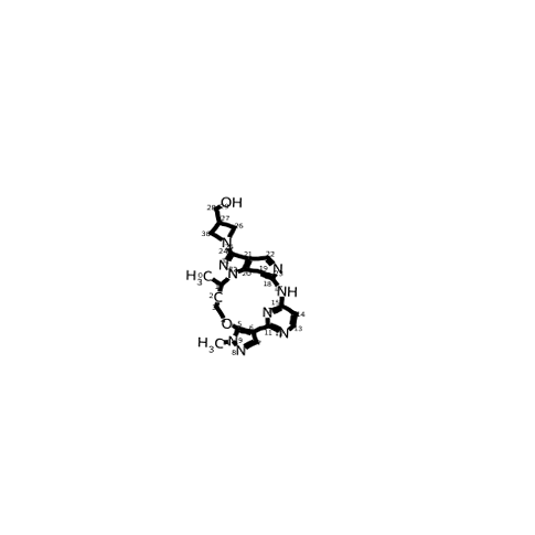 CC1CCOc2c(cnn2C)-c2nccc(n2)Nc2cc3c(cn2)c(N2CC(CO)C2)nn31